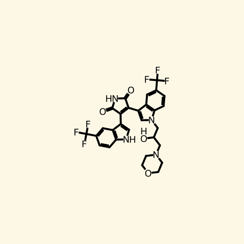 O=C1NC(=O)C(c2cn(CC(O)CN3CCOCC3)c3ccc(C(F)(F)F)cc23)=C1c1c[nH]c2ccc(C(F)(F)F)cc12